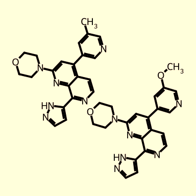 COc1cncc(-c2cc(N3CCOCC3)nc3c(-c4ccn[nH]4)nccc23)c1.Cc1cncc(-c2cc(N3CCOCC3)nc3c(-c4ccn[nH]4)nccc23)c1